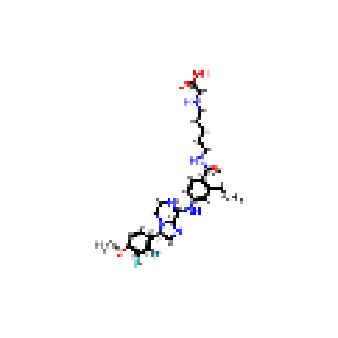 CCc1cc(NC2=NCCN3C2=NCC3c2ccc(OC)c(F)c2F)ccc1C(=O)NCCCCCNCC(=O)O